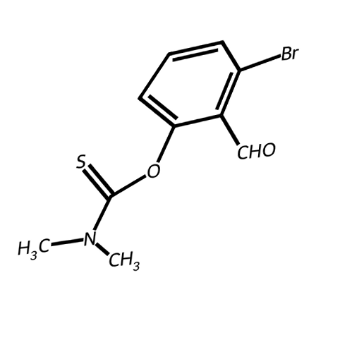 CN(C)C(=S)Oc1cccc(Br)c1C=O